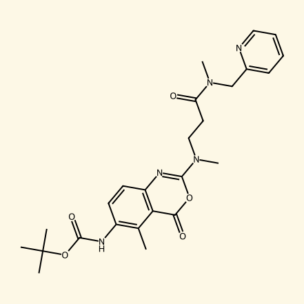 Cc1c(NC(=O)OC(C)(C)C)ccc2nc(N(C)CCC(=O)N(C)Cc3ccccn3)oc(=O)c12